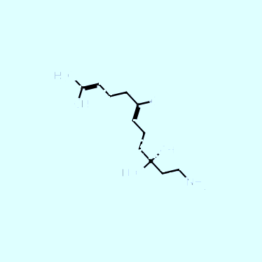 CC(C)=CCCC(C)=CCCC(C)(C)CCN